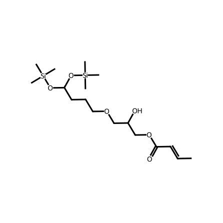 CC=CC(=O)OCC(O)COCCC[C](O[Si](C)(C)C)O[Si](C)(C)C